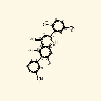 N#Cc1cccc(-c2c(F)cc3[nH]c(-c4cc(C#N)ccc4Cl)cc(=O)c3c2F)c1